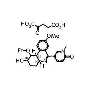 CCOC1[C@H](O)CC[C@H]2N=C(c3ccc(=O)n(C)c3)c3cc(OC)ccc3[C@@H]12.O=C(O)CCC(=O)C(=O)O